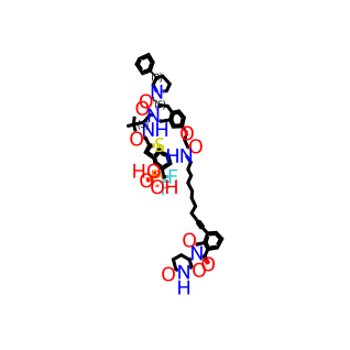 CC(C)(C)[C@H](NC(=O)c1cc2cc(C(F)(F)P(=O)(O)O)ccc2s1)C(=O)N1Cc2cc(OCC(=O)NCCCCCCCCC#Cc3cccc4c3C(=O)N(C3CCC(=O)NC3=O)C4=O)ccc2C[C@H]1C(=O)N1CCC[C@H](c2ccccc2)C1